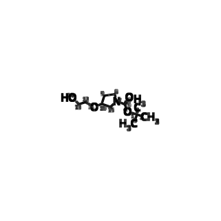 CC(C)(C)OC(=O)N1CCC(OCCO)C1